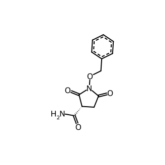 NC(=O)[C@H]1CC(=O)N(OCc2ccccc2)C1=O